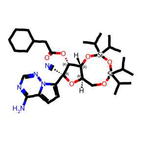 CC(C)[Si]1(C(C)C)OC[C@H]2O[C@@](C#N)(c3ccc4c(N)ncnn34)[C@H](OC(=O)CC3CCCCC3)[C@@H]2O[Si](C(C)C)(C(C)C)O1